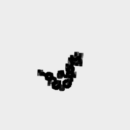 N#Cc1ccc(Cc2cccc(OC3CCN(Cc4nc5cc(-c6nnc(C(F)(F)F)[nH]6)ncc5n4C[C@@H]4CCO4)CC3)n2)c(F)c1